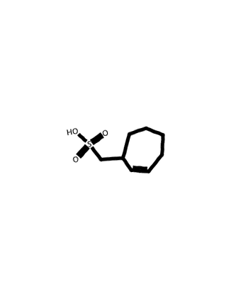 O=S(=O)(O)CC1C=CCCCC1